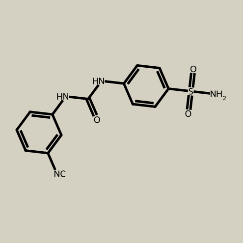 [C-]#[N+]c1cccc(NC(=O)Nc2ccc(S(N)(=O)=O)cc2)c1